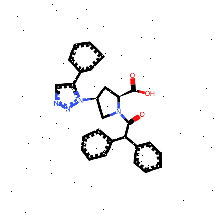 O=C(O)[C@@H]1C[C@H](n2nncc2-c2ccccc2)CN1C(=O)C(c1ccccc1)c1ccccc1